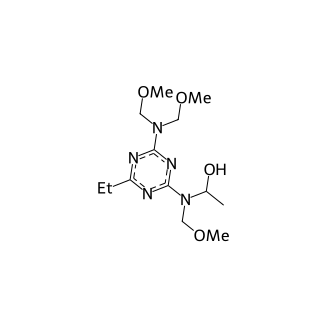 CCc1nc(N(COC)COC)nc(N(COC)C(C)O)n1